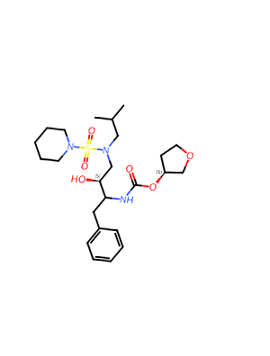 CC(C)CN(C[C@H](O)C(Cc1ccccc1)NC(=O)O[C@H]1CCOC1)S(=O)(=O)N1CCCCC1